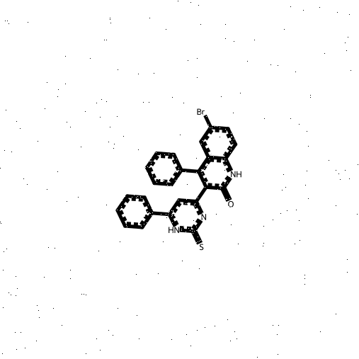 O=c1[nH]c2ccc(Br)cc2c(-c2ccccc2)c1-c1cc(-c2ccccc2)[nH]c(=S)n1